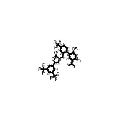 COc1cc(F)c(C(C)C)cc1-c1ccc(C(F)(F)F)cc1CN1CC(c2cc(C(F)(F)F)cc(C(F)(F)F)c2)OC1=O